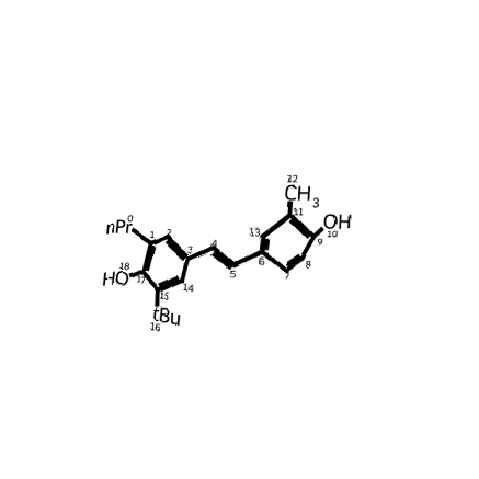 CCCc1cc(/C=C/c2ccc(O)c(C)c2)cc(C(C)(C)C)c1O